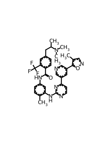 Cc1ccc(NC(=O)c2ccc(CC(C)N(C)C)cc2C(F)(F)F)cc1Nc1nccc(-c2cncc(-c3oncc3C)c2)n1